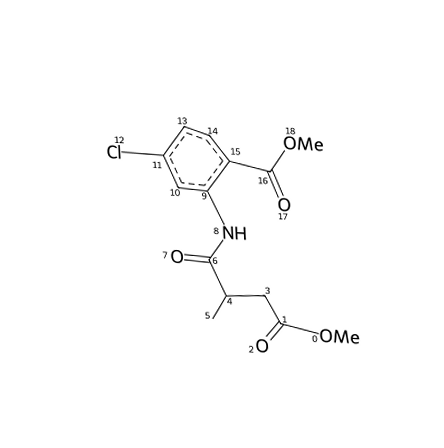 COC(=O)CC(C)C(=O)Nc1cc(Cl)ccc1C(=O)OC